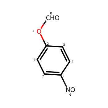 O=COc1ccc(N=O)cc1